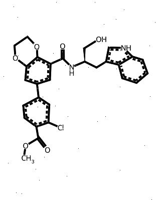 COC(=O)c1ccc(-c2cc3c(c(C(=O)N[C@@H](CO)Cc4c[nH]c5ccccc45)c2)OCCO3)cc1Cl